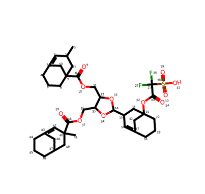 CC1C=C2CCCC(C(=O)OCC3OC(C4C=C5CCCC(OC(=O)C(F)(F)S(=O)(=O)O)(C5)C4)OC3COC(=O)C3(C)C=C4CCCC(C4)C3)(C2)C1